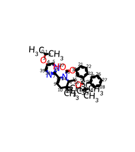 CC(C)Oc1cnc(C2=CCC(C)(C)C(CO[Si](c3ccccc3)(c3ccccc3)C(C)(C)C)N2C(=O)O)nc1